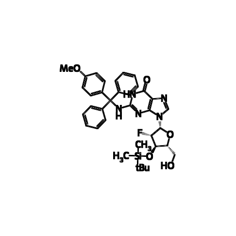 COc1ccc(C(Nc2nc3c(ncn3[C@@H]3O[C@H](CO)[C@@H](O[Si](C)(C)C(C)(C)C)[C@@H]3F)c(=O)[nH]2)(c2ccccc2)c2ccccc2)cc1